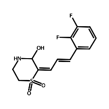 O=S1(=O)CCNC(O)/C1=C\C=C\c1cccc(F)c1F